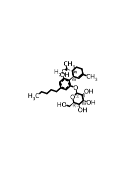 C=C(C)[C@@H]1CCC(C)=C[C@H]1c1c(O)cc(CCCCC)cc1O[C@@H]1O[C@H](CO)[C@@H](O)[C@H](O)[C@H]1O